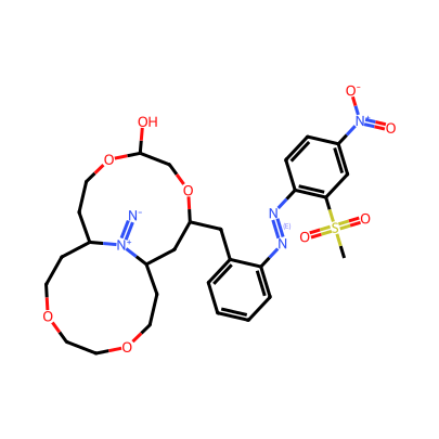 CS(=O)(=O)c1cc([N+](=O)[O-])ccc1/N=N/c1ccccc1CC1CC2CCOCCOCCC(CCOC(O)CO1)[N+]2=[N-]